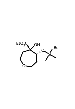 CCOC(=O)[C@]1(O)CCOCC[C@H]1O[Si](C)(C)C(C)(C)C